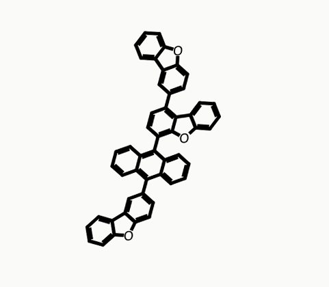 c1ccc2c(c1)oc1ccc(-c3c4ccccc4c(-c4ccc(-c5ccc6oc7ccccc7c6c5)c5c4oc4ccccc45)c4ccccc34)cc12